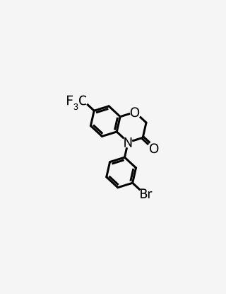 O=C1COc2cc(C(F)(F)F)ccc2N1c1cccc(Br)c1